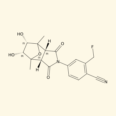 CC12OC(C)([C@H](O)[C@@H]1O)[C@H]1C(=O)N(c3ccc(C#N)c(CF)c3)C(=O)[C@H]12